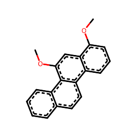 COc1cccc2c1cc(OC)c1c3ccccc3ccc21